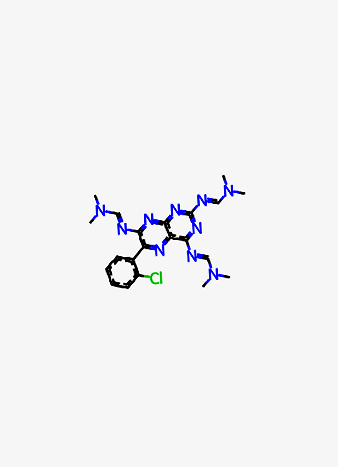 CN(C)C=Nc1nc(N=CN(C)C)c2nc(-c3ccccc3Cl)c(N=CN(C)C)nc2n1